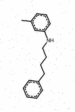 Cc1cccc(NCCCCc2ccccc2)c1